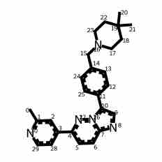 Cc1cc(-c2ccc3ncc(-c4ccc(CN5CCC(C)(C)CC5)cc4)n3n2)ccn1